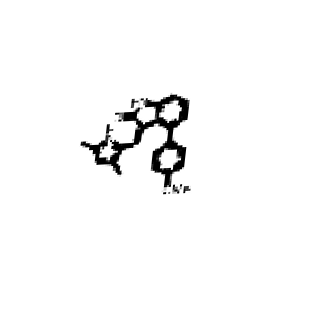 COc1ccc(-c2cccc3c2C(=Cc2[nH]c(C)cc2C)C(=O)N3)cc1